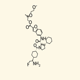 COCCO[C@H](C)COC(=O)c1cc2cc(NC(=O)[C@@H]3[C@H](C4CCCCC4)CCN3C(=O)[C@H]3CC[C@H](C(N)CF)CC3)ccc2o1